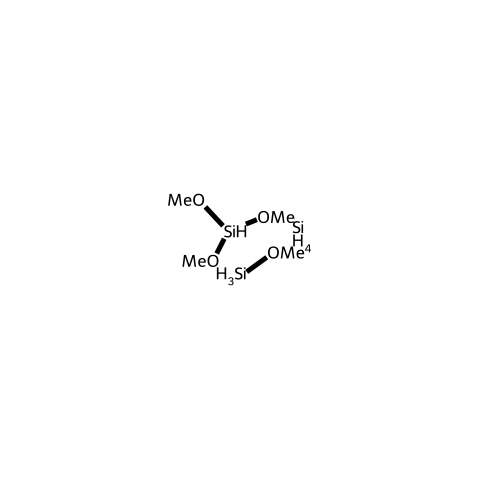 CO[SiH3].CO[SiH](OC)OC.[SiH4]